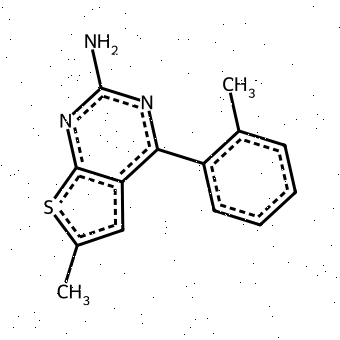 Cc1cc2c(-c3ccccc3C)nc(N)nc2s1